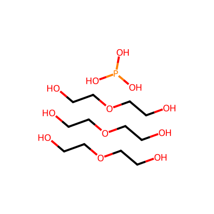 OCCOCCO.OCCOCCO.OCCOCCO.OP(O)O